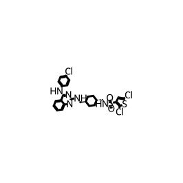 O=S(=O)(NC[C@H]1CC[C@H](CNc2nc(Nc3ccc(Cl)cc3)c3ccccc3n2)CC1)c1cc(Cl)sc1Cl